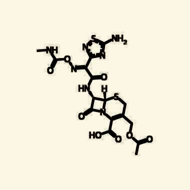 CNC(=O)ON=C(C(=O)N[C@@H]1C(=O)N2C(C(=O)O)=C(COC(C)=O)CS[C@@H]12)c1nsc(N)n1